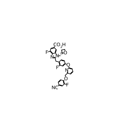 N#Cc1ccc(OCc2cccc(Oc3ccc(Cc4nc5c(F)cc(C(=O)O)cc5n4C[C@@H]4CCO4)c(F)c3)n2)c(F)c1